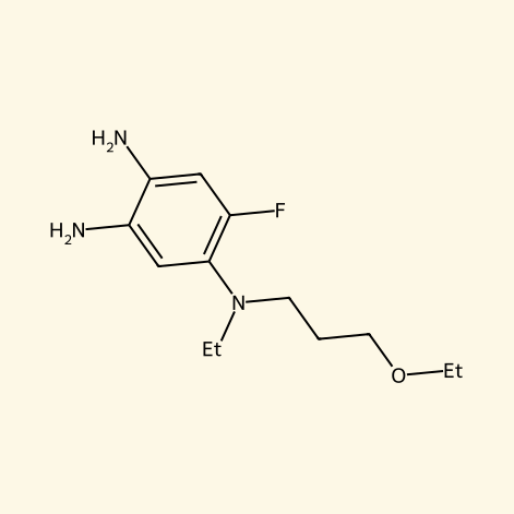 CCOCCCN(CC)c1cc(N)c(N)cc1F